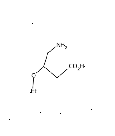 CCOC(CN)CC(=O)O